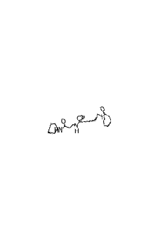 O=C(CCN1CCCCC1=O)NCCC(=O)NC1CCCC1